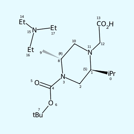 CC(C)[C@H]1CN(C(=O)OC(C)(C)C)[C@H](C)CN1CC(=O)O.CCN(CC)CC